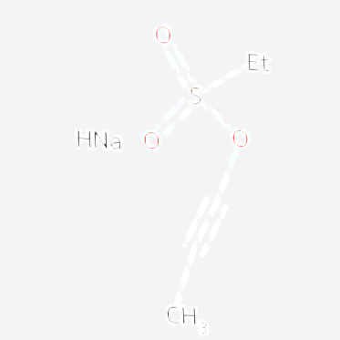 CC#COS(=O)(=O)CC.[NaH]